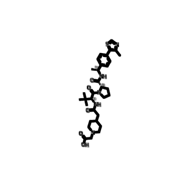 Cc1ncsc1-c1ccc([C@H](C)NC(=O)[C@@H]2CCCN2C(=O)[C@@H](NC(=O)CC2CCN(CC(=O)O)CC2)C(C)(C)C)cc1